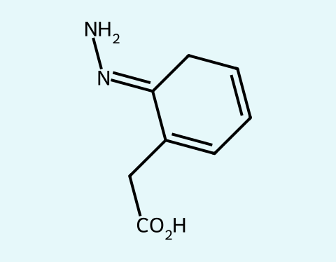 NN=C1CC=CC=C1CC(=O)O